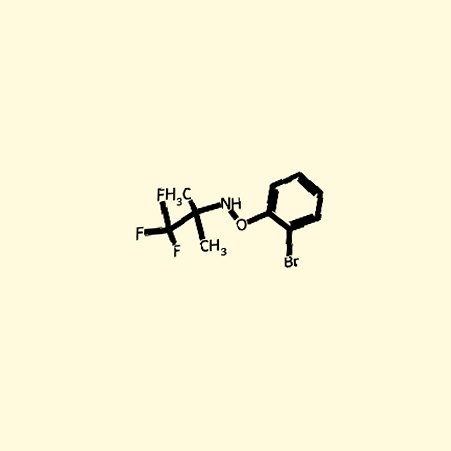 CC(C)(NOc1ccccc1Br)C(F)(F)F